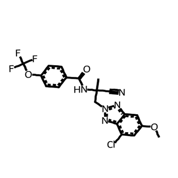 COc1cc(Cl)c2nn(CC(C)(C#N)NC(=O)c3ccc(OC(F)(F)F)cc3)nc2c1